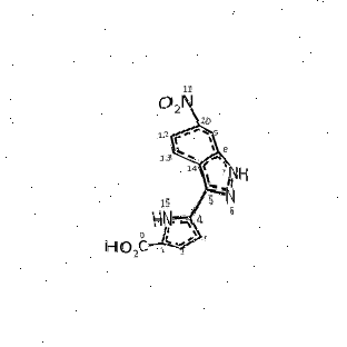 O=C(O)c1ccc(-c2n[nH]c3cc([N+](=O)[O-])ccc23)[nH]1